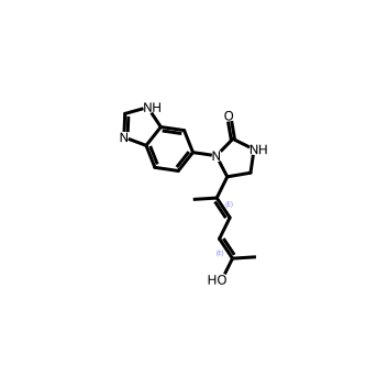 C/C(O)=C\C=C(/C)C1CNC(=O)N1c1ccc2nc[nH]c2c1